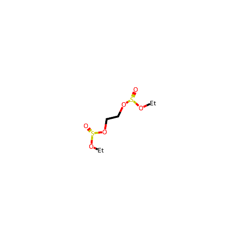 CCOS(=O)OCCOS(=O)OCC